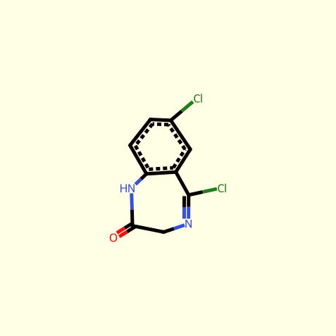 O=C1CN=C(Cl)c2cc(Cl)ccc2N1